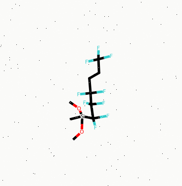 CO[Si](C)(OC)C(F)(F)C(F)(F)C(F)(F)CCC(F)(F)F